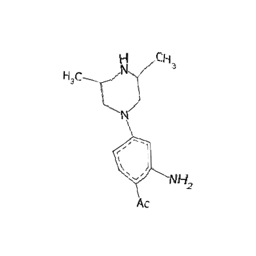 CC(=O)c1ccc(N2CC(C)NC(C)C2)cc1N